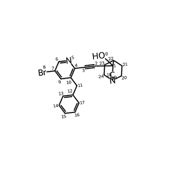 OC1(C#Cc2ncc(Br)cc2Cc2ccccc2)CN2CCC1CC2